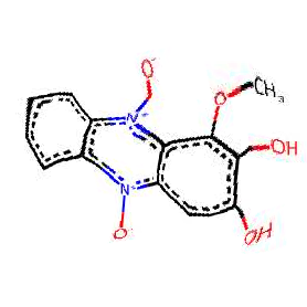 COc1c(O)c(O)cc2c1[n+]([O-])c1ccccc1[n+]2[O-]